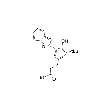 CCC(=O)CCc1cc(-n2nc3ccccc3n2)c(O)c(C(C)(C)C)c1